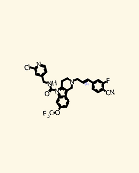 N#Cc1ccc(/C=C/CN2CCc3c(c4ccc(OC(F)(F)F)cc4n3C(=O)NCc3ccnc(Cl)c3)C2)cc1F